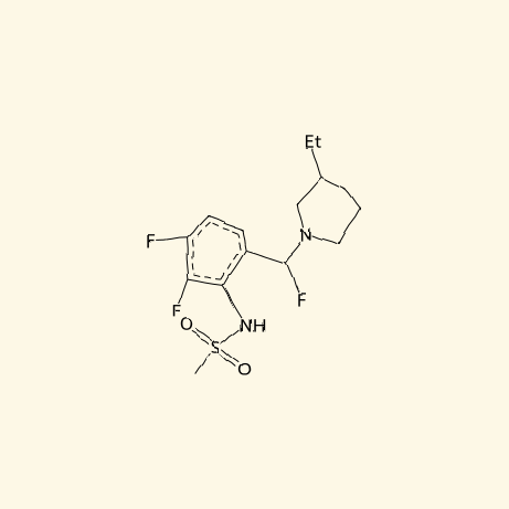 CCC1CCCN(C(F)c2ccc(F)c(F)c2NS(C)(=O)=O)C1